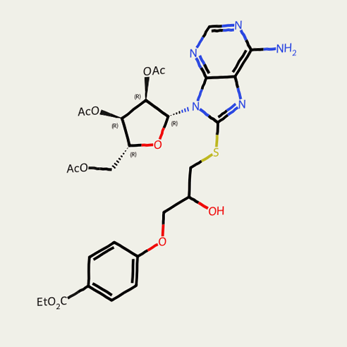 CCOC(=O)c1ccc(OCC(O)CSc2nc3c(N)ncnc3n2[C@@H]2O[C@H](COC(C)=O)[C@@H](OC(C)=O)[C@H]2OC(C)=O)cc1